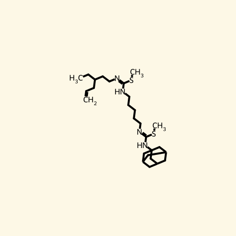 C=CCC(CC)CC/N=C(\NCCCCC/N=C(/NC12CC3CC(CC(C3)C1)C2)SC)SC